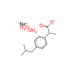 CC(C)Cc1ccc(C(C)C(=O)[O-])cc1.O.O.[Na+]